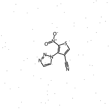 N#Cc1csc([N+](=O)[O-])c1-n1ccnn1